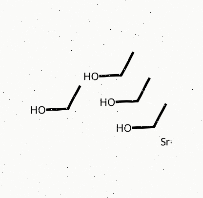 CCO.CCO.CCO.CCO.[Sr]